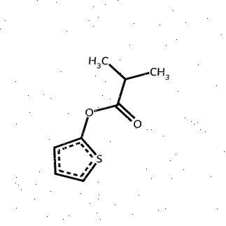 CC(C)C(=O)Oc1cccs1